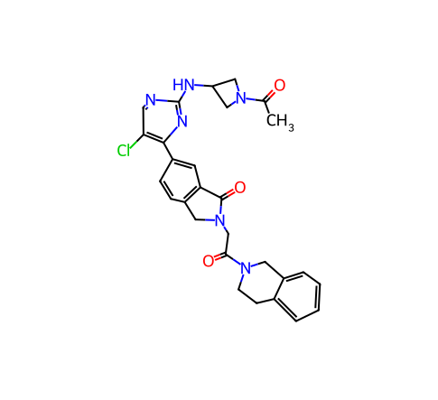 CC(=O)N1CC(Nc2ncc(Cl)c(-c3ccc4c(c3)C(=O)N(CC(=O)N3CCc5ccccc5C3)C4)n2)C1